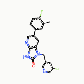 Cc1cc(-c2cnc3[nH]c(=O)n(Cc4cncc(F)c4)c3c2)ccc1F